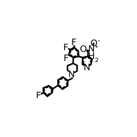 O=C([NH2+][O-])c1ccncc1-c1cc(F)c(F)c(F)c1C1CCN(Cc2ccc(-c3ccc(F)cc3)cc2)CC1